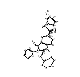 O=c1c2c(nc(SC3CCCCC3)n1-c1ccccc1)CCN(c1nc3ccc(C(F)(F)F)cc3[nH]1)C2